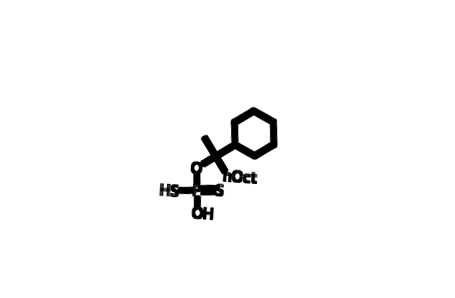 CCCCCCCCC(C)(OP(O)(=S)S)C1CCCCC1